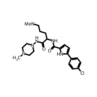 CNCCCC(NC(=O)c1ccc(-c2ccc(Cl)cc2)[nH]1)C(=O)NN1CCN(C)CC1